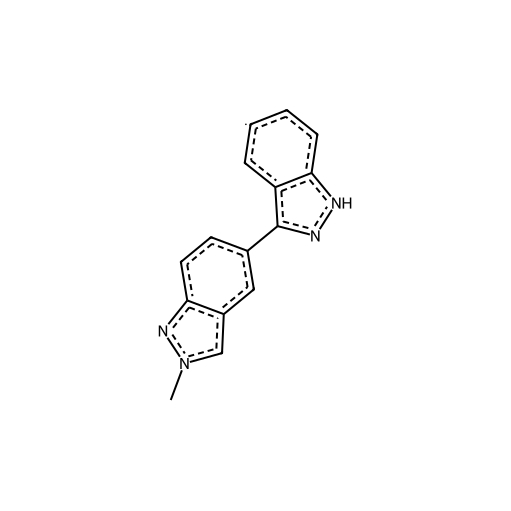 Cn1cc2cc(-c3n[nH]c4cc[c]cc34)ccc2n1